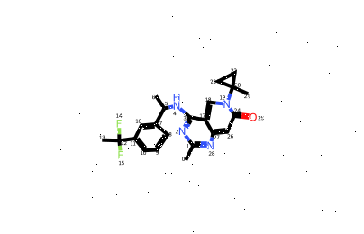 Cc1nc(NC(C)c2cccc(C(C)(F)F)c2)c2cn(C3(C)CC3)c(=O)cc2n1